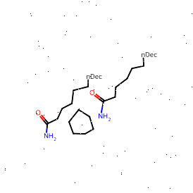 C1CCCCC1.CCCCCCCCCCCCCCCC(N)=O.CCCCCCCCCCCCCCCC(N)=O